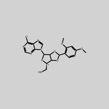 COc1ccc(C2OC3C(O2)[C@@H](CO)OC3n2cnc3c(Cl)ncnc32)c(OC)c1